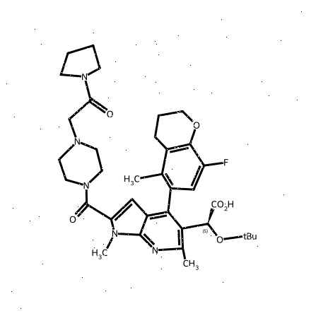 Cc1nc2c(cc(C(=O)N3CCN(CC(=O)N4CCCC4)CC3)n2C)c(-c2cc(F)c3c(c2C)CCCO3)c1[C@H](OC(C)(C)C)C(=O)O